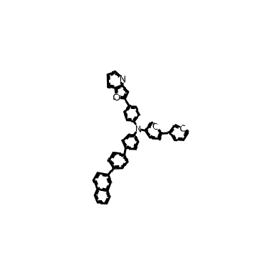 c1ccc(-c2ccc(N(c3ccc(-c4ccc(-c5ccc6ccccc6c5)cc4)cc3)c3ccc(-c4cc5ncccc5o4)cc3)cc2)cc1